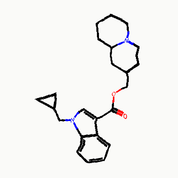 O=C(OCC1CCN2CCCCC2C1)c1cn(CC2CC2)c2ccccc12